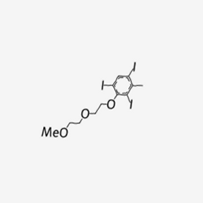 COCCOCCOc1c(I)cc(I)c(C)c1I